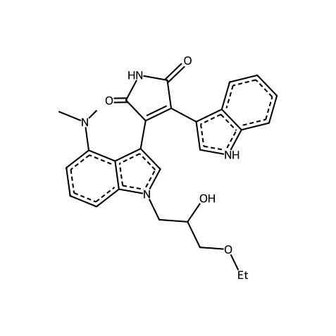 CCOCC(O)Cn1cc(C2=C(c3c[nH]c4ccccc34)C(=O)NC2=O)c2c(N(C)C)cccc21